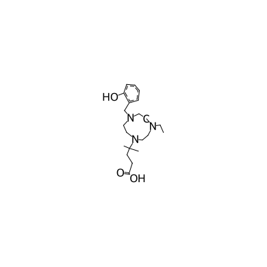 CCN1CCN(Cc2ccccc2O)CCN(C(C)(C)CCC(=O)O)CC1